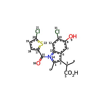 Cc1c(C(C)C(=O)O)c2cc(O)c(Cl)cc2n1C(=O)c1ccc(Cl)s1